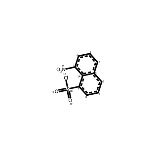 O=[N+]([O-])c1cccc2cccc(S(=O)(=O)Cl)c12